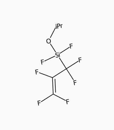 CC(C)O[Si](F)(F)C(F)(F)C(F)=C(F)F